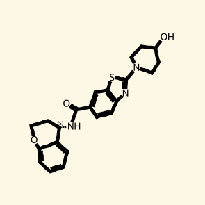 O=C(N[C@H]1CCOc2ccccc21)c1ccc2nc(N3CCC(O)CC3)sc2c1